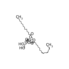 CC/C=C\C/C=C\C/C=C\CCCCCCCC(=O)O[C@H](COC(=O)CCCCCCCCCCCCCC)COP(=O)(O)OC[C@@H](O)CO